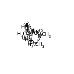 C=C[C@@H]1C[C@]1(NC(=O)[C@@H]1C[C@@H]2CN1C(=O)[C@H](C(C)(C)C)NC(=O)OCC(C)(C)C/C=C/Cn1cc(C)c3c4ccccc4nc(c31)O2)C(=O)NS(=O)(=O)C1CC1